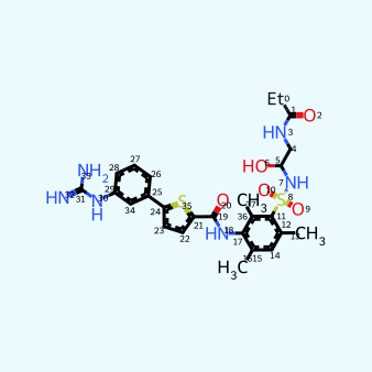 CCC(=O)NCC(O)NS(=O)(=O)c1c(C)cc(C)c(NC(=O)c2ccc(-c3cccc(NC(=N)N)c3)s2)c1C